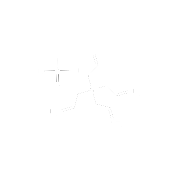 C=CC[N+](CC=C)(CC=C)CC=C.O=P([O-])(O)O